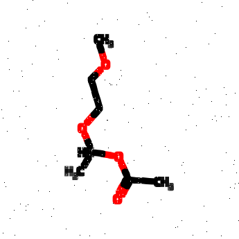 COCCO[SiH](C)OC(C)=O